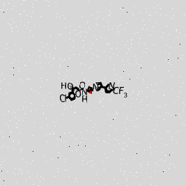 O=C(NC12CC(n3ccc(-c4ccc(C(F)(F)F)nc4)c3)(C1)C2)[C@@H]1C[C@@H](O)c2cc(Cl)ccc2O1